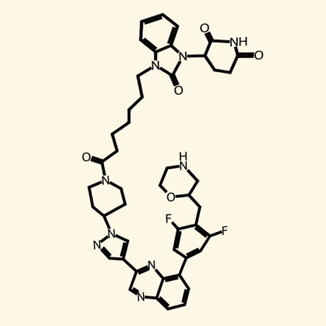 O=C1CCC(n2c(=O)n(CCCCCCC(=O)N3CCC(n4cc(-c5cnc6cccc(-c7cc(F)c(CC8CNCCO8)c(F)c7)c6n5)cn4)CC3)c3ccccc32)C(=O)N1